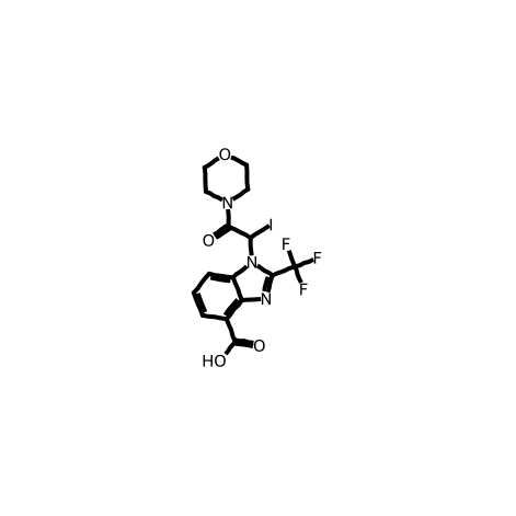 O=C(O)c1cccc2c1nc(C(F)(F)F)n2C(I)C(=O)N1CCOCC1